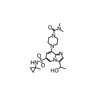 CC(O)c1cnc2c(N3CCN(C(=O)N(C)C)CC3)cc(S(=O)(=O)NC3(C)CC3)cn12